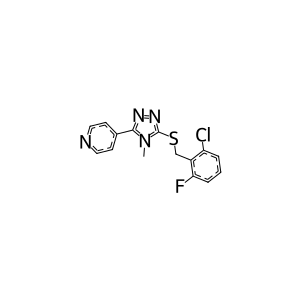 Cn1c(SCc2c(F)cccc2Cl)nnc1-c1ccncc1